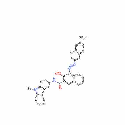 CCn1c2ccccc2c2cc(NC(=O)c3cc4ccccc4c(/N=N/c4ccc5cc(S(=O)(=O)O)ccc5c4)c3O)ccc21